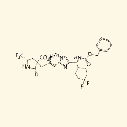 O=C(N[C@H](c1cn2ncc(CC3(C(=O)O)C[C@@H](C(F)(F)F)NC3=O)cc2n1)C1CCC(F)(F)CC1)OCc1ccccc1